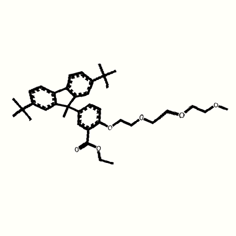 CCOC(=O)c1cc(C2(C)c3cc(C(C)(C)C)ccc3-c3ccc(C(C)(C)C)cc32)ccc1OCCOCCOCCOC